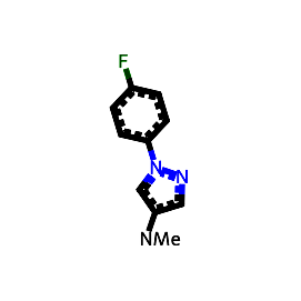 CNc1cnn(-c2ccc(F)cc2)c1